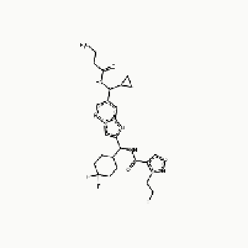 O=C(CCC(F)(F)F)NC(c1cnn2cc([C@@H](NC(=O)c3conc3CCF)C3CCC(F)(F)CC3)nc2c1)C1CC1